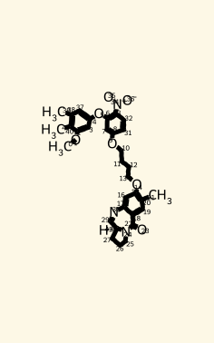 COc1cc(Oc2cc(OCCCCOc3cc4c(cc3C)C(=O)N3CCC[C@H]3C=N4)ccc2[N+](=O)[O-])cc(C)c1C